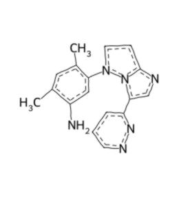 Cc1cc(C)c(-n2ccc3ncc(-c4cccnn4)n32)cc1N